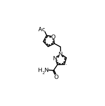 CC(=O)c1ccc(Cn2c[c]c(C(N)=O)n2)o1